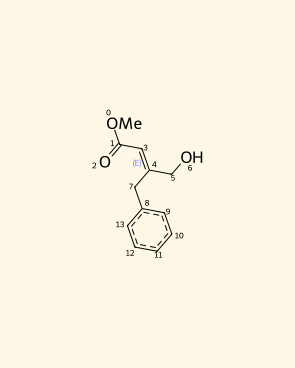 COC(=O)/C=C(/CO)Cc1ccccc1